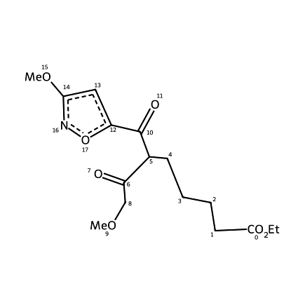 CCOC(=O)CCCCC(C(=O)COC)C(=O)c1cc(OC)no1